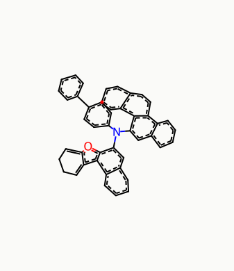 C1=c2oc3c(N(c4ccc(-c5ccccc5)cc4)c4cc5ccccc5c5ccc6ccccc6c45)cc4ccccc4c3c2=CCC1